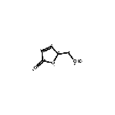 O=[C]CC1C=CC(=O)O1